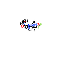 Cn1c(-c2cc3ccc(OC(F)F)nc3n2CC2CC2)nc2cc(C(=O)N3C[C@H]4CC5C[C@@H]3[C@H]54)ccc21